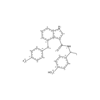 CC(NC(=O)c1c[nH]c2cccc(Oc3ccc(C(F)(F)F)cc3)c12)c1ccc(C(=O)O)cc1